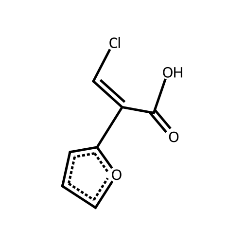 O=C(O)C(=CCl)c1ccco1